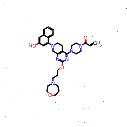 C=CC(=O)N1CCN(c2nc(OCCCN3CCCOCC3)nc3c2CCN(c2cc(O)cc4ccccc24)C3)CC1